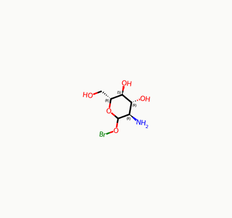 N[C@H]1C(OBr)O[C@H](CO)[C@@H](O)[C@@H]1O